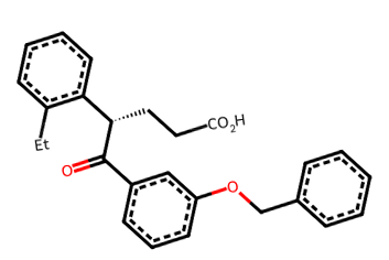 CCc1ccccc1[C@H](CCC(=O)O)C(=O)c1cccc(OCc2ccccc2)c1